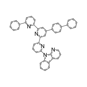 c1ccc(-c2ccc(-c3cc(-c4cccc(-c5ccccc5)n4)nc(-c4cccc(-n5c6ccccc6c6cccnc65)n4)c3)cc2)cc1